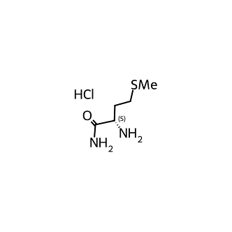 CSCC[C@H](N)C(N)=O.Cl